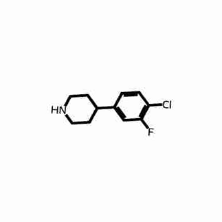 Fc1cc(C2CCNCC2)ccc1Cl